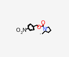 [CH2]C1CCCN1C(=O)OCc1ccc([N+](=O)[O-])cc1